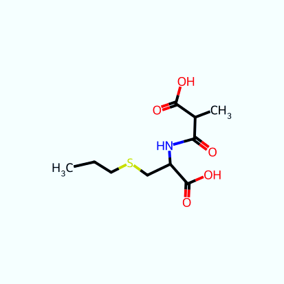 CCCSCC(NC(=O)C(C)C(=O)O)C(=O)O